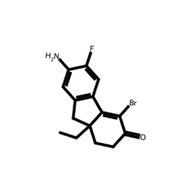 CCC12CCC(=O)C(Br)=C1c1cc(F)c(N)cc1C2